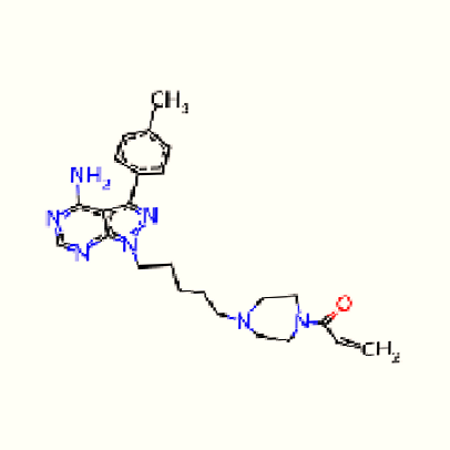 C=CC(=O)N1CCN(CCCCCn2nc(-c3ccc(C)cc3)c3c(N)ncnc32)CC1